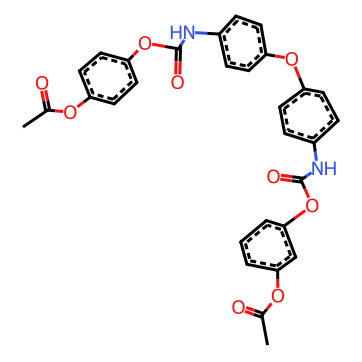 CC(=O)Oc1ccc(OC(=O)Nc2ccc(Oc3ccc(NC(=O)Oc4cccc(OC(C)=O)c4)cc3)cc2)cc1